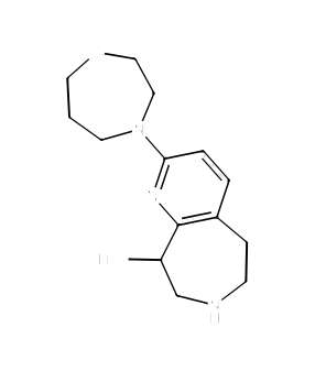 CC1CNCCc2ccc(N3CCCOCC3)nc21